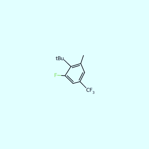 Cc1cc(C(F)(F)F)cc(F)c1C(C)(C)C